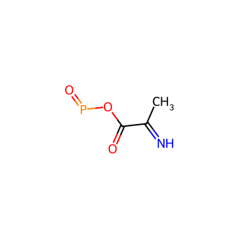 CC(=N)C(=O)OP=O